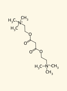 C[N+](C)(C)CCOC(=O)CC(=O)OCC[N+](C)(C)C